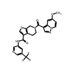 COc1ccn2ncc(C(=O)N3CCc4c(C(=O)Nc5cncc(C(F)(F)F)c5)csc4C3)c2c1